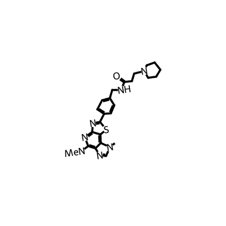 CNc1nc2nc(-c3ccc(CNC(=O)CCN4CCCCC4)cc3)sc2c2c1ncn2C